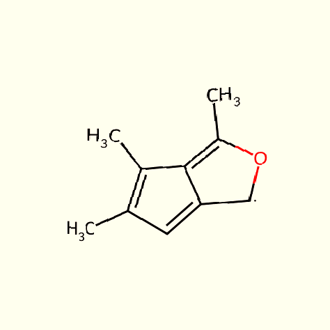 CC1=C(C)C2=C(C)O[CH]C2=C1